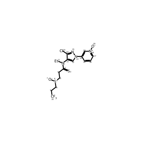 CCN(C(=S)CC[S+]([O-])CCC(F)(F)F)c1cn(-c2ccc[n+]([O-])c2)nc1Cl